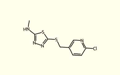 CNc1nnc(SCc2ccc(Cl)nc2)s1